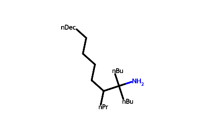 CCCCCCCCCCCCCCC(CCC)C(N)(CCCC)CCCC